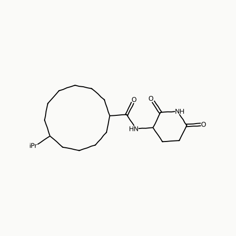 CC(C)C1CCCCCCC(C(=O)NC2CCC(=O)NC2=O)CCCC1